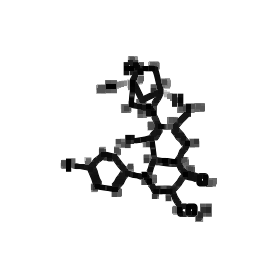 O=C(O)c1cn(-c2ccc(F)cc2)c2c(F)c(N3C[C@@H]4C[C@H]3CN4)c(F)cc2c1=O